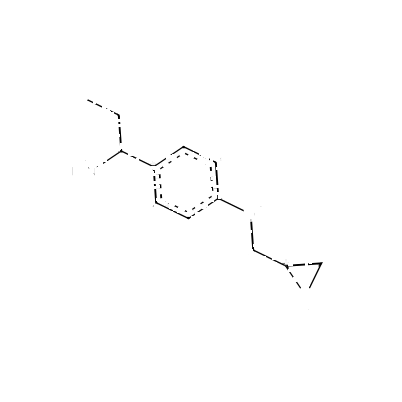 CCC(N)c1ccc(OCC2CO2)cc1